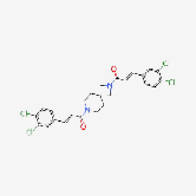 O=C(C=Cc1ccc(Cl)c(Cl)c1)N1CCC2(CC1)CN(C(=O)C=Cc1ccc(Cl)c(Cl)c1)C2